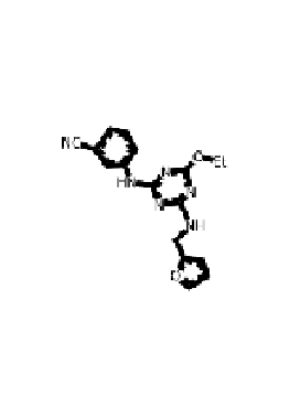 CCOc1nc(NCc2ccco2)nc(Nc2cccc(C#N)c2)n1